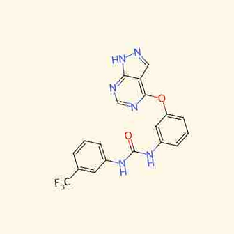 O=C(Nc1cccc(Oc2ncnc3[nH]ncc23)c1)Nc1cccc(C(F)(F)F)c1